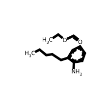 CCCCCc1ccccc1N.CCOC=O